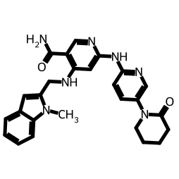 Cn1c(CNc2cc(Nc3ccc(N4CCCCC4=O)cn3)ncc2C(N)=O)cc2ccccc21